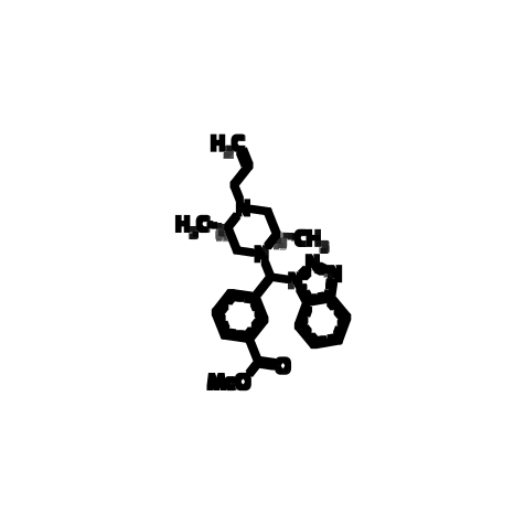 C=CCN1C[C@H](C)N(C(c2cccc(C(=O)OC)c2)n2nnc3ccccc32)C[C@@H]1C